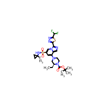 CC[C@H]1CN(c2cc(S(=O)(=O)NC3(C)CC3)cn3c(-c4nnc(C(F)F)s4)ncc23)CCN1C(=O)OC(C)(C)C